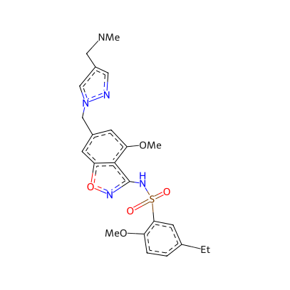 CCc1ccc(OC)c(S(=O)(=O)Nc2noc3cc(Cn4cc(CNC)cn4)cc(OC)c23)c1